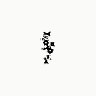 CC(OC(=O)Nc1ccc(-c2c(C#N)c3cc(OCC(=O)NC4CC4)ccc3n2C2CCC2)cc1)C1CC1